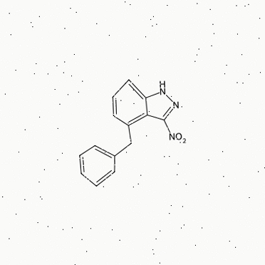 O=[N+]([O-])c1n[nH]c2cccc(Cc3ccccc3)c12